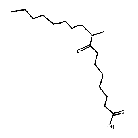 CCCCCCCCN(C)C(=O)CCCCCCC(=O)O